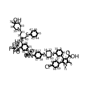 Cc1c(C(=O)O)c(-c2cccc(N3CCN(c4ccc(NS(=O)(=O)c5ccc(N[C@H](CCN6CCC(C)(O)CC6)CSc6ccccc6)c(S(=O)(=O)C(F)(F)F)c5)cc4)CC3)c2)c(-c2ccc(Cl)cc2)n1C